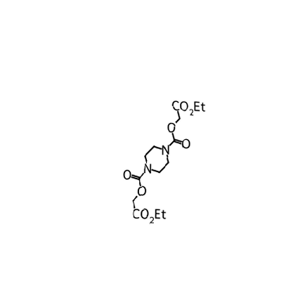 CCOC(=O)COC(=O)N1CCN(C(=O)OCC(=O)OCC)CC1